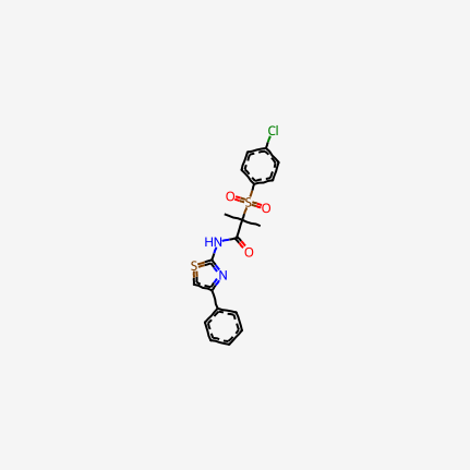 CC(C)(C(=O)Nc1nc(-c2ccccc2)cs1)S(=O)(=O)c1ccc(Cl)cc1